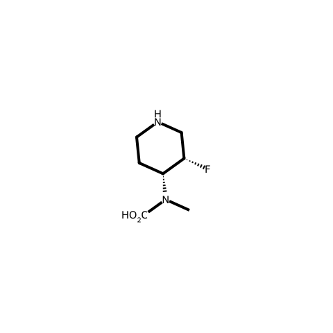 CN(C(=O)O)[C@@H]1CCNC[C@@H]1F